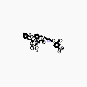 COC(=O)[C@H](CCC(=O)N(C/C=C/COc1ccc([N+](=O)[O-])cc1C=O)Cc1ccc(OC)cc1)NC(=O)CCc1ccccc1